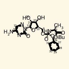 CC(C)COC(=O)[C@H](C)NP(=O)(OC[C@H]1O[C@@H](n2ncc(N)nc2=O)[C@@H](O)[C@H]1O)Oc1ccccc1